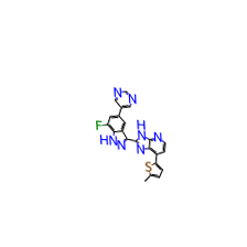 Cc1ccc(-c2ccnc3[nH]c(-c4n[nH]c5c(F)cc(-c6cncnc6)cc45)nc23)s1